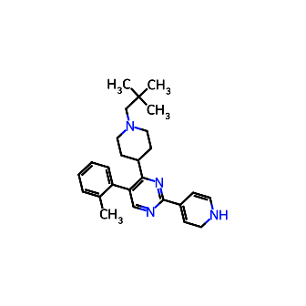 Cc1ccccc1-c1cnc(C2=CCNC=C2)nc1C1CCN(CC(C)(C)C)CC1